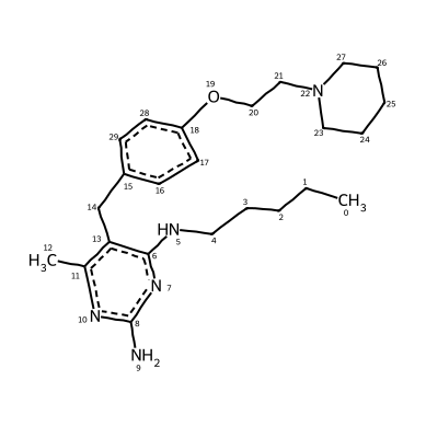 CCCCCNc1nc(N)nc(C)c1Cc1ccc(OCCN2CCCCC2)cc1